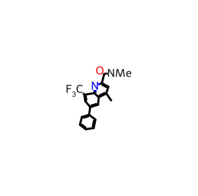 CNC(=O)c1cc(C)c2cc(-c3ccccc3)cc(C(F)(F)F)c2n1